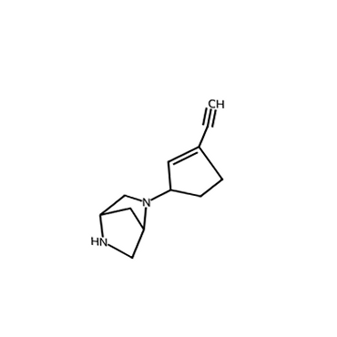 C#CC1=CC(N2CC3CC2CN3)CC1